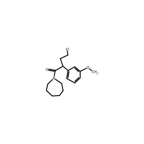 COc1cccc(C(CCCl)C(=O)N2CCCCCC2)c1